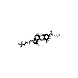 C[Si](C)(C)CCOCn1cc(C(F)(F)F)c2c(Oc3c(F)cc(NC(=O)O)cc3C(F)(F)F)ccnc21